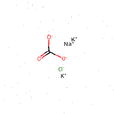 O=C([O-])[O-].[Cl-].[K+].[K+].[Na+]